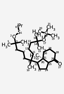 CC(C)SOC(C)(C)CCCC(C)(CCCC(C)(C)O[Si](C)(C)C)C1CCC2C(=O)CCC[C@@]21C